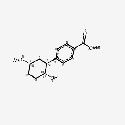 COC(=O)c1ccc([C@@H]2C[C@@H](OC)CC[C@H]2O)cc1